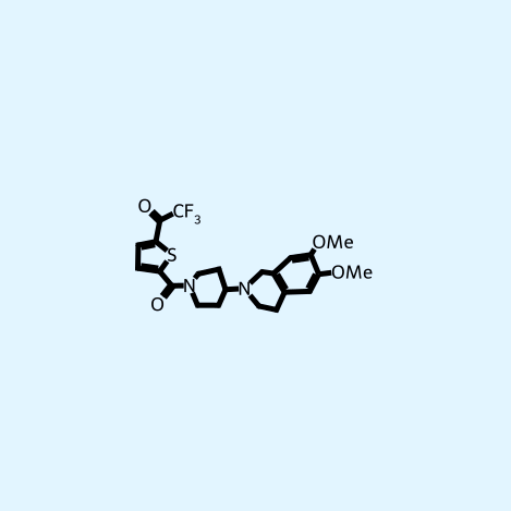 COc1cc2c(cc1OC)CN(C1CCN(C(=O)c3ccc(C(=O)C(F)(F)F)s3)CC1)CC2